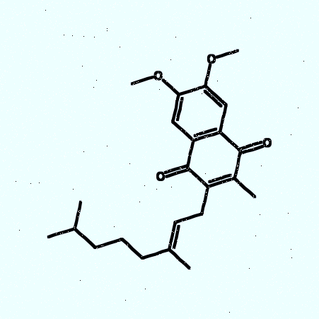 COc1cc2c(cc1OC)C(=O)C(C/C=C(\C)CCCC(C)C)=C(C)C2=O